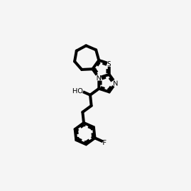 OC(CCc1cccc(F)c1)c1cnc2sc3c(n12)CCCCC3